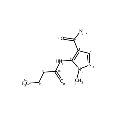 Cn1ncc(C(N)=O)c1NC(=O)CCC(F)(F)F